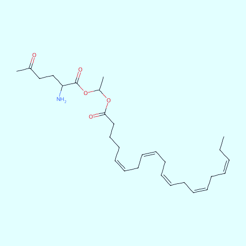 CC/C=C\C/C=C\C/C=C\C/C=C\C/C=C\CCCC(=O)OC(C)OC(=O)C(N)CCC(C)=O